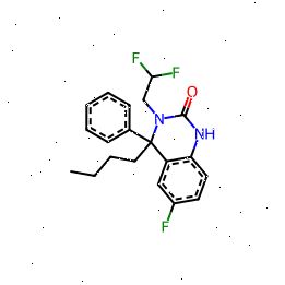 CCCCC1(c2ccccc2)c2cc(F)ccc2NC(=O)N1CC(F)F